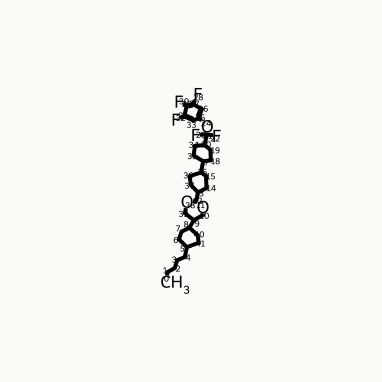 CCCCCC1CCC(C2COC(C3CCC(C4CCC(C(F)(F)Oc5cc(F)c(F)c(F)c5)CC4)CC3)OC2)CC1